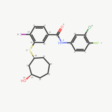 O=C(Nc1ccc(F)c(Cl)c1)c1ccc(I)c(S[C@H]2CCCC[C@@H](O)C2)c1